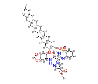 CCCCCCCCCCCCCCCCCCN1C(C(C(=O)Nc2cc3c(cc2OCCCCCCCCCCCCCC)OCO3)n2cc(C(=O)OC)cn2)=Nc2ccccc2S1(=O)=O